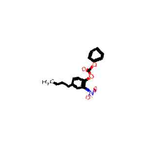 CCCCc1ccc(OC(=O)Oc2ccccc2)c([N+](=O)[O-])c1